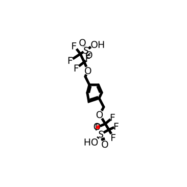 O=S(=O)(O)C(F)(F)C(F)(F)OCc1ccc(COC(F)(F)C(F)(F)S(=O)(=O)O)cc1